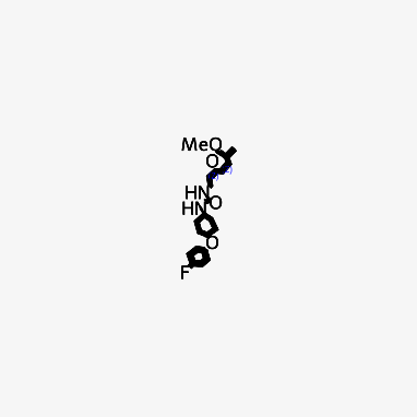 C=C(/C=C\C=C/CNC(=O)N[C@H]1CC[C@@H](Oc2ccc(F)cc2)CC1)C(=O)OC